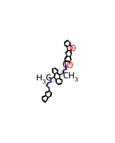 C/C(=C\C=C/Cc1ccc2ccccc2c1)c1c2ccccc2c(/C(C)=C/C=C2\Cc3cc4cc5c(cc4cc3O2)oc2ccccc25)c2ccccc12